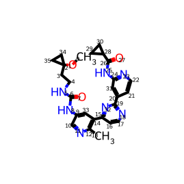 COC1(CCNC(=O)Nc2cnc(C)c(-c3ccnc(-c4ccnc(NC(=O)C5CC5)c4)n3)c2)CC1